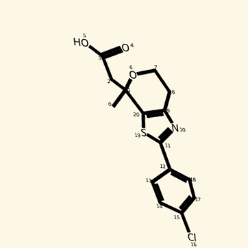 CC1(CC(=O)O)OCCc2nc(-c3ccc(Cl)cc3)sc21